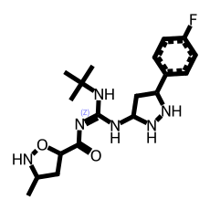 CC1CC(C(=O)/N=C(\NC2CC(c3ccc(F)cc3)NN2)NC(C)(C)C)ON1